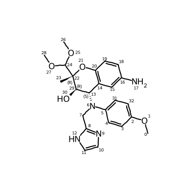 COc1ccc(N(Cc2ncc[nH]2)[C@H]2c3cc(N)ccc3O[C@@](C)(C(OC)OC)[C@@H]2O)cc1